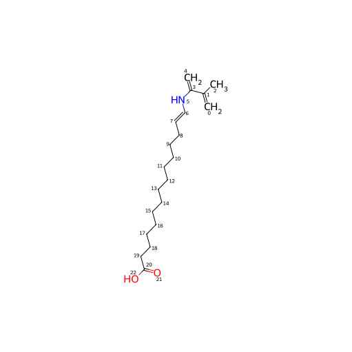 C=C(C)C(=C)N/C=C/CCCCCCCCCCCCC(=O)O